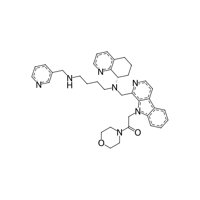 O=C(Cn1c2ccccc2c2ccnc(CN(CCCCNCc3cccnc3)[C@H]3CCCc4cccnc43)c21)N1CCOCC1